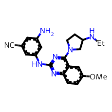 CCNC1CCN(c2nc(Nc3cc(N)cc(C#N)c3)nc3ccc(OC)cc23)C1